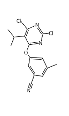 Cc1cc(C#N)cc(Oc2nc(Cl)nc(Cl)c2C(C)C)c1